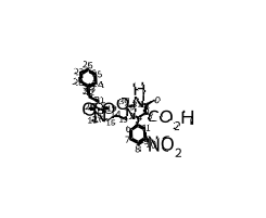 CC1=C(C(=O)O)C(c2cccc([N+](=O)[O-])c2)N(CCCN(C)S(=O)(=O)/C=C/c2ccccc2)C(=O)N1